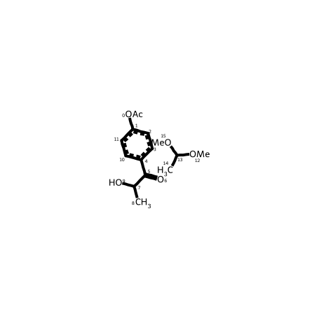 CC(=O)Oc1ccc(C(=O)C(C)O)cc1.COC(C)OC